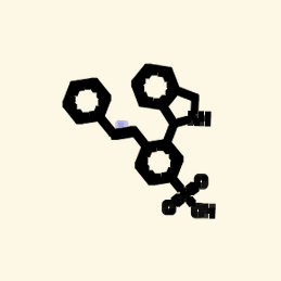 O=S(=O)(O)c1ccc(/C=C/c2ccccc2)c(C2NCc3ccccc32)c1